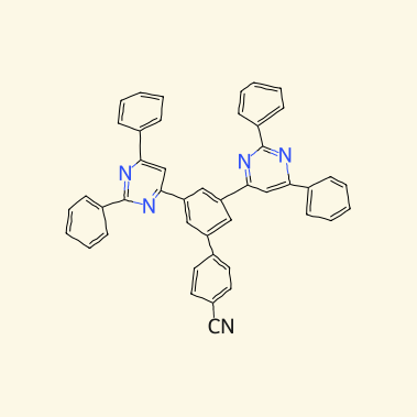 N#Cc1ccc(-c2cc(-c3cc(-c4ccccc4)nc(-c4ccccc4)n3)cc(-c3cc(-c4ccccc4)nc(-c4ccccc4)n3)c2)cc1